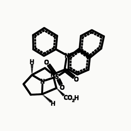 O=C(O)[C@@H]1[C@H]2CC[C@@H](CN1C(=O)N(c1ccccc1)c1ccccc1)N2S(=O)(=O)c1ccccc1